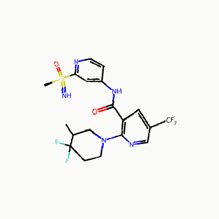 CC1CN(c2ncc(C(F)(F)F)cc2C(=O)Nc2ccnc([S@](C)(=N)=O)c2)CCC1(F)F